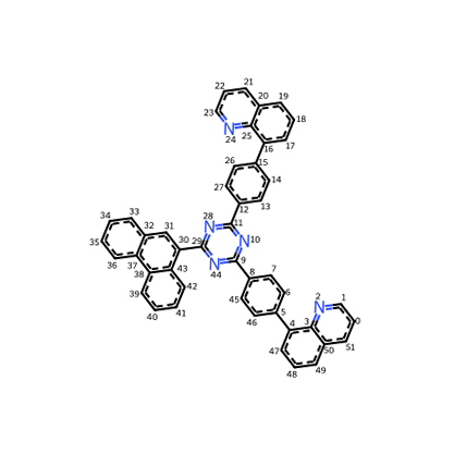 c1cnc2c(-c3ccc(-c4nc(-c5ccc(-c6cccc7cccnc67)cc5)nc(-c5cc6ccccc6c6ccccc56)n4)cc3)cccc2c1